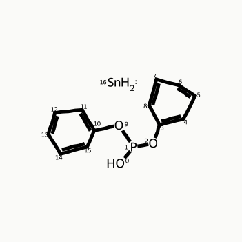 OP(Oc1ccccc1)Oc1ccccc1.[SnH2]